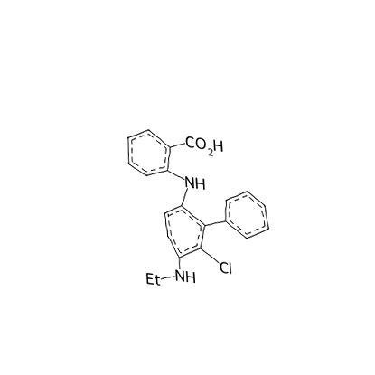 CCNc1ccc(Nc2ccccc2C(=O)O)c(-c2ccccc2)c1Cl